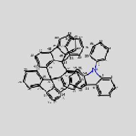 c1ccc(-n2c3ccccc3c3cc(-c4cccc5c4C4(c6ccccc6-5)c5ccccc5C5(c6ccccc6)c6ccccc6-c6cccc4c65)ccc32)cc1